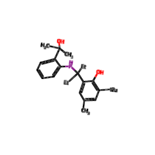 CCC(CC)(Pc1ccccc1C(C)(C)O)c1cc(C)cc(C(C)(C)C)c1O